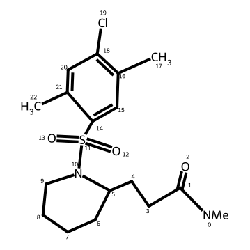 CNC(=O)CCC1CCCCN1S(=O)(=O)c1cc(C)c(Cl)cc1C